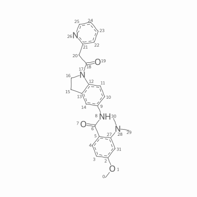 COc1ccc(C(=O)Nc2ccc3c(c2)CCN3C(=O)Cc2ccccn2)c(N(C)C)c1